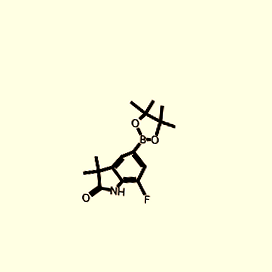 CC1(C)C(=O)Nc2c(F)cc(B3OC(C)(C)C(C)(C)O3)cc21